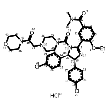 CCOc1ccc(C(=O)N(C)C)cc1C1=N[C@@H](c2ccc(Cl)cc2)[C@@H](c2ccc(Cl)cc2)N1C(=O)N1CCN(CC(=O)N2CCOCC2)CC1.Cl